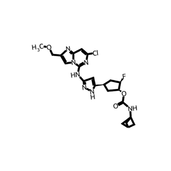 COCc1cn2c(Nc3cc([C@H]4C[C@@H](F)[C@@H](OC(=O)NC56CC(C5)C6)C4)[nH]n3)nc(Cl)cc2n1